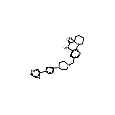 O=C1Nc2cc(CN3CCN(c4ccc(-c5cnccn5)cc4)CC3)cnc2N2CCCC[C@@H]12